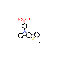 OB(O)c1ccc(-n2c3ccccc3c3cc4sc5ccccc5c4cc32)cc1